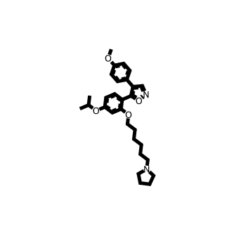 COc1ccc(-c2cnoc2-c2ccc(OC(C)C)cc2OCCCCCCN2CCCC2)cc1